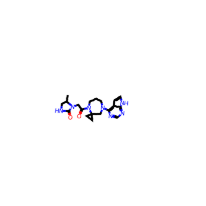 CC1CNC(=O)N1CC(=O)N1CCCN(c2ncnc3[nH]ccc23)CC12CC2